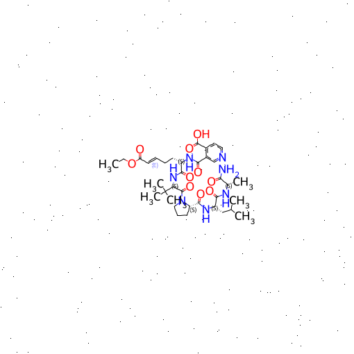 CCOC(=O)/C=C/CC[C@H](NC(=O)c1cnccc1C(=O)O)C(=O)N[C@H](C(=O)N1CCC[C@H]1C(=O)N[C@@H](CC(C)C)C(=O)N[C@@H](C)C(N)=O)C(C)(C)C